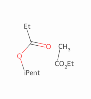 CCCC(C)OC(=O)CC.CCOC(C)=O